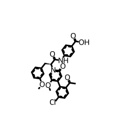 COc1cccc(C[C@@H](C(=O)Nc2ccc(C(=O)O)cc2)n2cc(OC)c(-c3cc(Cl)ccc3C(C)=O)cc2=O)c1